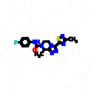 Cc1nsc(-c2nnc3n2CCN(C(=O)Nc2ccc(F)cc2)[C@@H]3C)n1